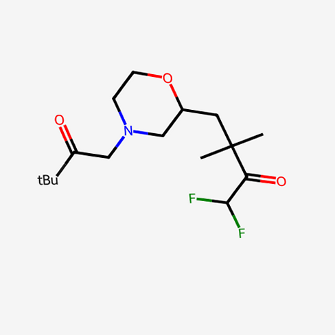 CC(C)(C)C(=O)CN1CCOC(CC(C)(C)C(=O)C(F)F)C1